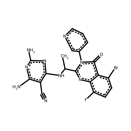 CC(Nc1nc(N)nc(N)c1C#N)c1nc2c(F)ccc(Br)c2c(=O)n1-c1cccnc1